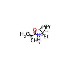 C=C(C)C(=O)NC(CC)(CC(C)C)CC(C)C